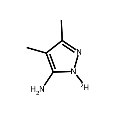 [2H]n1nc(C)c(C)c1N